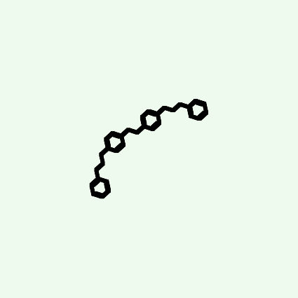 c1ccc(CCCc2ccc(CCc3ccc(CCCc4ccccc4)cc3)cc2)cc1